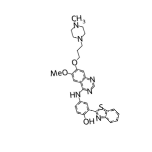 COc1cc2c(Nc3ccc(O)c(-c4nc5ccccc5s4)c3)ncnc2cc1OCCCN1CCN(C)CC1